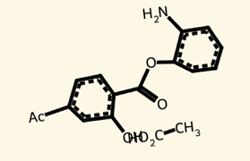 CC(=O)O.CC(=O)c1ccc(C(=O)Oc2ccccc2N)c(O)c1